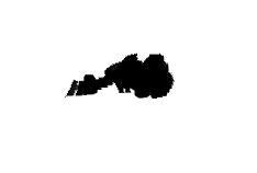 C=C[C@@H]1C[C@@]1(NC(=O)C1(NC(=O)OC(C)(C)C)Cc2ccccc2C1)C(=O)NS(=O)(=O)c1ccccc1NC(=O)CCCCCCCC(=O)O